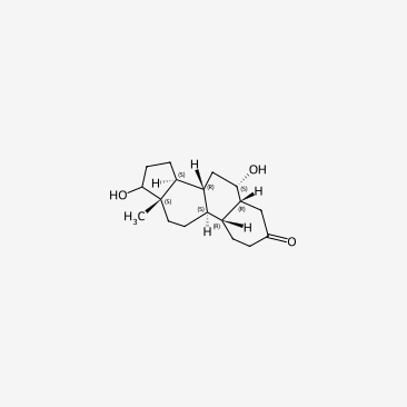 C[C@]12CC[C@@H]3[C@H]4CCC(=O)C[C@H]4[C@@H](O)C[C@H]3[C@@H]1CCC2O